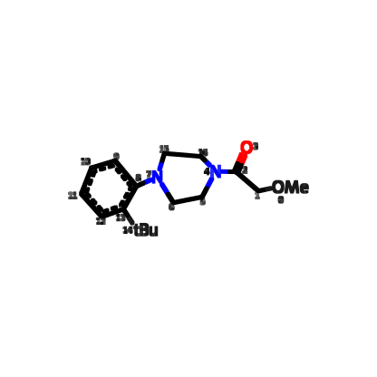 COCC(=O)N1CCN(c2ccccc2C(C)(C)C)CC1